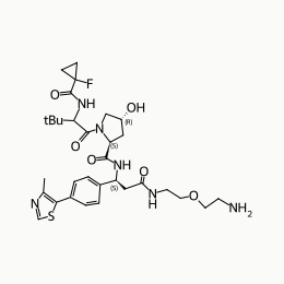 Cc1ncsc1-c1ccc([C@H](CC(=O)NCCOCCN)NC(=O)[C@@H]2C[C@@H](O)CN2C(=O)C(NC(=O)C2(F)CC2)C(C)(C)C)cc1